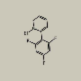 CCN1CC=CC=C1c1c(F)cc(F)cc1F